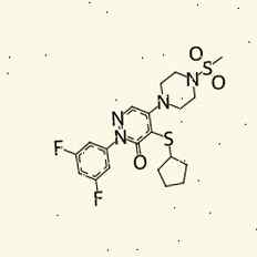 CS(=O)(=O)N1CCN(c2cnn(-c3cc(F)cc(F)c3)c(=O)c2SC2CCCC2)CC1